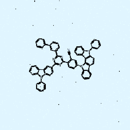 N#Cc1cc(-n2c3ccccc3c3ccc4c(c5ccccc5n4-c4ccccc4)c32)ccc1-c1nc(-c2cccc(-c3ccccc3)c2)nc(-c2ccc3c(c2)c2ccccc2n3-c2ccccc2)n1